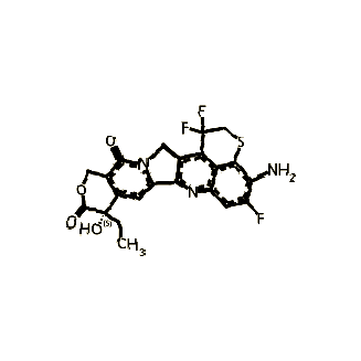 CC[C@@]1(O)C(=O)OCc2c1cc1n(c2=O)Cc2c-1nc1cc(F)c(N)c3c1c2C(F)(F)CS3